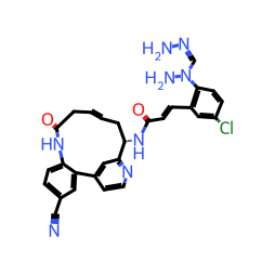 N#Cc1ccc2c(c1)-c1ccnc(c1)[C@@H](NC(=O)/C=C/c1cc(Cl)ccc1N(N)/C=N\N)C/C=C/CC(=O)N2